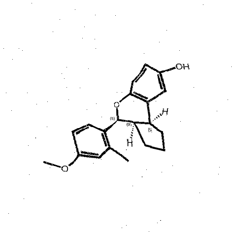 COc1ccc([C@H]2Oc3ccc(O)cc3[C@H]3CCC[C@H]32)c(C)c1